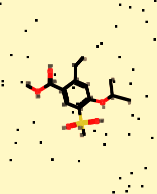 CCc1cc(OC(C)C)c(S(C)(=O)=O)cc1C(=O)OC